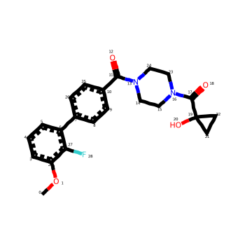 COc1cccc(-c2ccc(C(=O)N3CCN(C(=O)C4(O)CC4)CC3)cc2)c1F